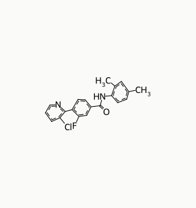 Cc1ccc(NC(=O)c2ccc(-c3ncccc3Cl)c(F)c2)c(C)c1